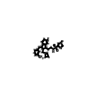 Cn1cnc(S(=O)(=O)NCCC2c3cc(F)ccc3C(Cc3cccc(C(F)(F)F)c3)C2CN2CCC2)c1